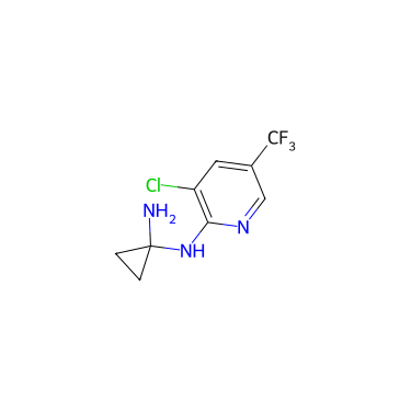 NC1(Nc2ncc(C(F)(F)F)cc2Cl)CC1